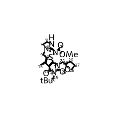 COC(=O)N=C1NCCN1Cc1sc2c(c1C)c(=O)n(CC(C)(C)C)c(=O)n2CC1CCCO1